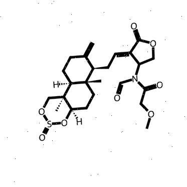 C=C1CC[C@@H]2[C@]3(C)COS(=O)O[C@@H]3CC[C@@]2(C)[C@@H]1C/C=C1/C(=O)OCC1N(C=O)C(=O)COC